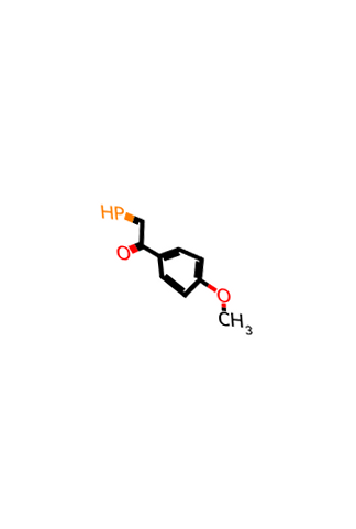 COc1ccc(C(=O)C=P)cc1